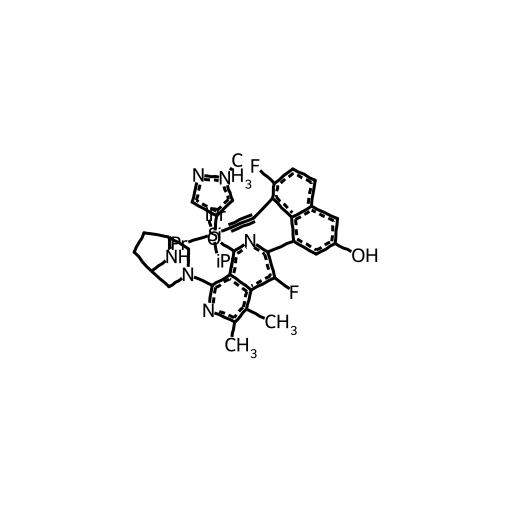 Cc1nc(N2CC3CCC(C2)N3)c2c(Oc3cnn(C)c3)nc(-c3cc(O)cc4ccc(F)c(C#C[Si](C(C)C)(C(C)C)C(C)C)c34)c(F)c2c1C